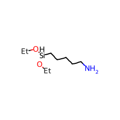 CCO[SiH](CCCCCN)OCC